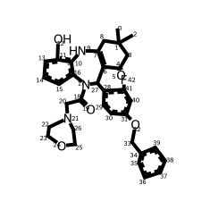 CC1(C)CC(=O)C2=C(C1)Nc1c(O)cccc1N(C(=O)CN1CCOCC1)C2c1ccc(OCc2ccccc2)cc1F